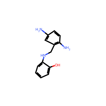 Nc1ccc(N)c(CNc2ccccc2O)c1